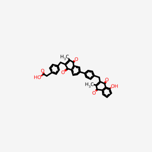 CC1=C(Cc2ccc(CC(=O)O)cc2)C(=O)c2ccc(-c3ccc(CC4=C(C)C(=O)c5cccc(O)c5C4=O)cc3)cc2C1=O